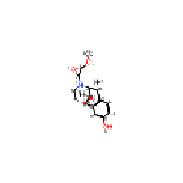 CCOC1OC1N1CC[C@@]23CCCC[C@@H]2[C@@H]1Cc1ccc(O)cc13